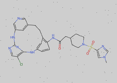 Cn1cnc(S(=O)(=O)N2CCC(CC(=O)Nc3ccc4cc3CCc3cncc(c3)Nc3ncc(Cl)c(n3)N4)CC2)c1